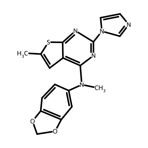 Cc1cc2c(N(C)c3ccc4c(c3)OCO4)nc(-n3ccnc3)nc2s1